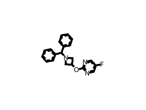 Fc1cnc(OC2CN(C(c3ccccc3)c3ccccc3)C2)nc1